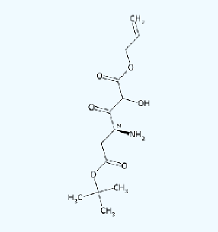 C=CCOC(=O)C(O)C(=O)[C@@H](N)CC(=O)OC(C)(C)C